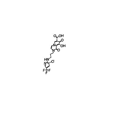 O=C(O)c1cn2ccn(CCCNc3ncc(C(F)(F)F)cc3Cl)c(=O)c2c(O)c1=O